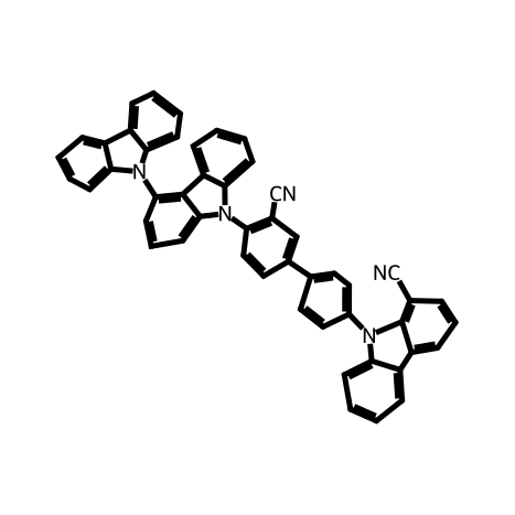 N#Cc1cc(-c2ccc(-n3c4ccccc4c4cccc(C#N)c43)cc2)ccc1-n1c2ccccc2c2c(-n3c4ccccc4c4ccccc43)cccc21